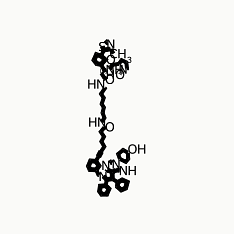 Cc1ncsc1-c1cccc([C@H](CC(=O)NCCCCCCCNC(=O)CCCCC#Cc2cccc(Cn3c(-c4ccccc4)c(-c4ccccc4)c4c(=N)n(C5CCC(O)CC5)cnc43)c2)NC(=O)C2CCCN2O)c1